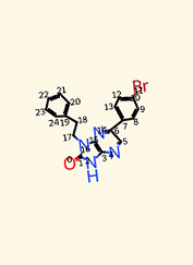 O=c1[nH]c2ncc(-c3ccc(Br)cc3)nc2n1CCc1ccccc1